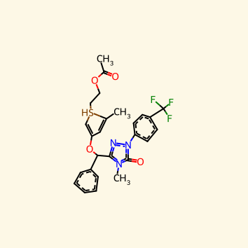 CC(=O)OCC[SH]1C=C(OC(c2ccccc2)c2nn(-c3ccc(C(F)(F)F)cc3)c(=O)n2C)C=C1C